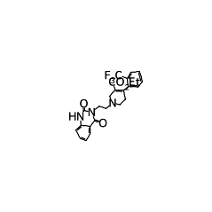 CCOC(=O)C1=C(c2ccccc2C(F)(F)F)CCN(CCn2c(=O)[nH]c3ccccc3c2=O)C1